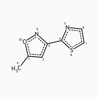 Cc1cc(-c2n[c]cs2)no1